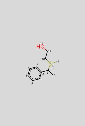 CC(c1ccccc1)[S+](C)CCO